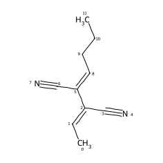 C/C=C(C#N)/C(C#N)=C/CCC